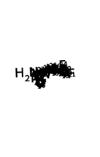 Nc1nc2ccccc2c2nc(CN3CCN(c4ccc(F)cc4F)CC3)cn12